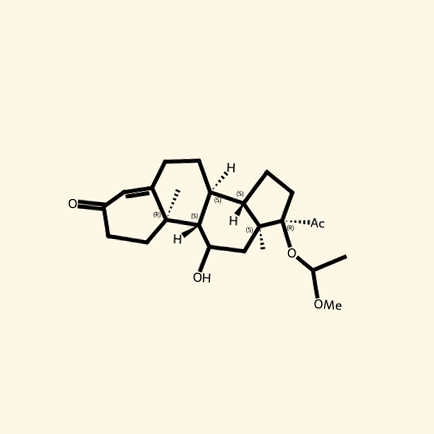 COC(C)O[C@]1(C(C)=O)CC[C@H]2[C@@H]3CCC4=CC(=O)CC[C@]4(C)[C@H]3C(O)C[C@@]21C